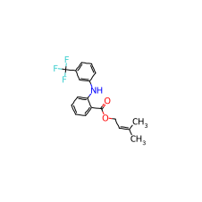 CC(C)=CCOC(=O)c1ccccc1Nc1cccc(C(F)(F)F)c1